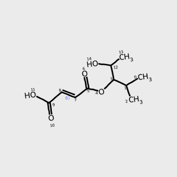 CC(C)C(OC(=O)/C=C/C(=O)O)C(C)O